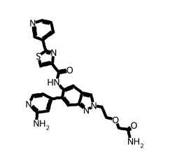 NC(=O)COCCn1cc2cc(NC(=O)c3csc(-c4cccnc4)n3)c(-c3ccnc(N)c3)cc2n1